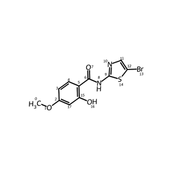 COc1ccc(C(=O)Nc2ncc(Br)s2)c(O)c1